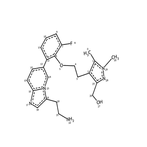 Cc1c(CCOc2c(F)cccc2-c2ccc3ncc(CCN)n3c2)c(CO)nn1C